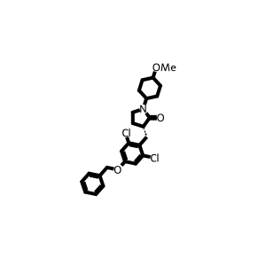 COC1CCC(N2CC[C@@H](Cc3c(Cl)cc(OCc4ccccc4)cc3Cl)C2=O)CC1